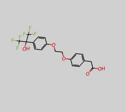 O=C(O)Cc1ccc(OCCOc2ccc(C(O)(C(F)(F)F)C(F)(F)F)cc2)cc1